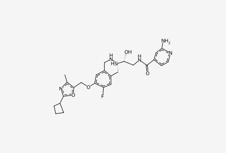 Cc1nc(C2CCC2)oc1COc1cc2c(cc1F)C[Si@@H]([C@H](O)CNC(=O)c1ccnc(N)c1)NC2